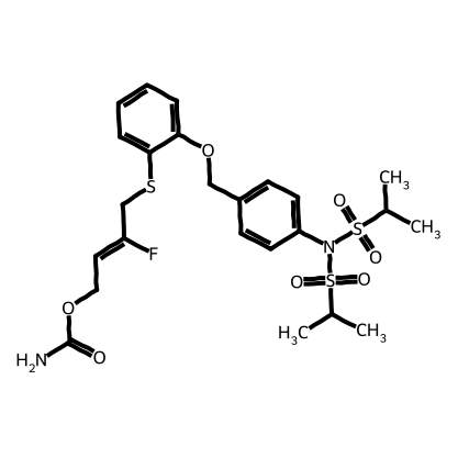 CC(C)S(=O)(=O)N(c1ccc(COc2ccccc2SCC(F)=CCOC(N)=O)cc1)S(=O)(=O)C(C)C